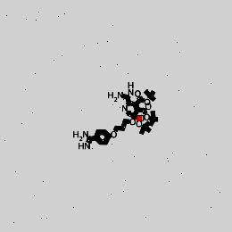 CC(C)(C)OC(=O)C1=C(C(=O)OC(C)(C)C)C(OCCCOc2ccc(C(=N)N)cc2)(C(=O)OC(C)(C)C)C=NC1C(=N)N